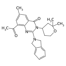 CC(=O)c1cc(C)cc2c(=O)n(C3CCOC(C)(C)C3)c(N3Cc4ccccc4C3)nc12